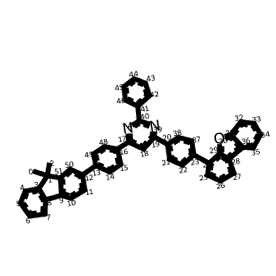 CC1(C)c2ccccc2-c2ccc(-c3ccc(-c4cc(-c5ccc(-c6cccc7c6oc6ccccc67)cc5)nc(-c5ccccc5)n4)cc3)cc21